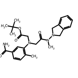 Cc1ccc(C(N)=O)cc1N(CC(=O)OC(C)(C)C)CC(=O)N(C)N1Cc2ccccc2C1